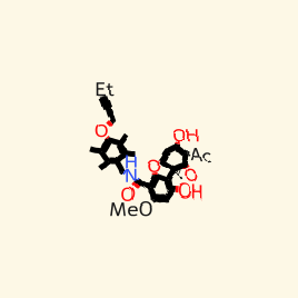 CCC#CCOc1c(C)c(C)c(CNC(=O)c2c(OC)cc(O)c3c2OC2=CC(O)=C(C(C)=O)C(=O)[C@]23C)c(C)c1C